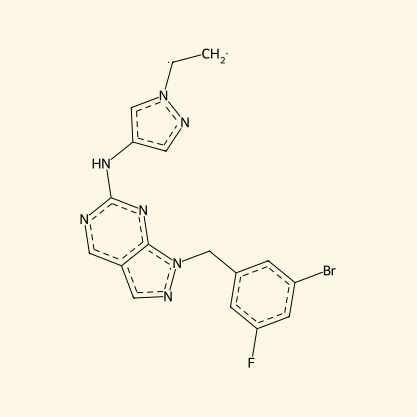 [CH2][CH]n1cc(Nc2ncc3cnn(Cc4cc(F)cc(Br)c4)c3n2)cn1